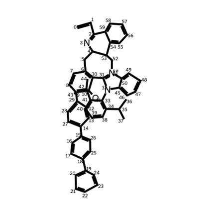 C=CC1=NC2Cc3ccc4c(oc5cc(-c6ccc(-c7ccccc7)cc6)ccc54)c3-c3n(-c4c(C(C)C)cccc4C(C)C)c4ccccc4[n+]3CC2c2ccccc21